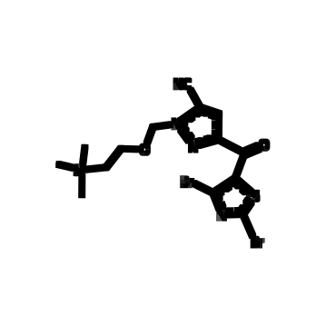 C[Si](C)(C)CCOCn1nc(C(=O)c2sc(Br)nc2Br)cc1C#N